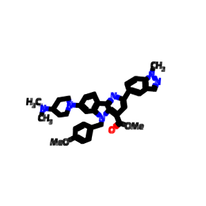 COC(=O)c1cc(-c2ccc3c(cnn3C)c2)nc2c3ccc(N4CCC(N(C)C)CC4)cc3n(Cc3ccc(OC)cc3)c12